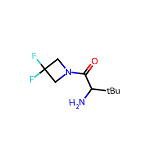 CC(C)(C)C(N)C(=O)N1CC(F)(F)C1